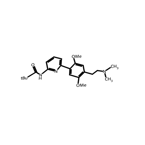 COc1cc(-c2cccc(NC(=O)C(C)(C)C)n2)c(OC)cc1CCN(C)C